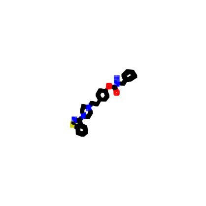 O=C(NCc1ccccc1)O[C@H]1CC[C@H](CCN2CCN(c3nsc4ccccc34)CC2)CC1